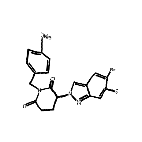 COc1ccc(CN2C(=O)CCC(n3cc4cc(Br)c(F)cc4n3)C2=O)cc1